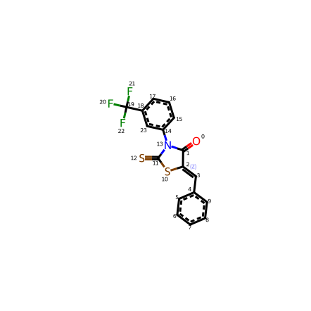 O=C1/C(=C/c2ccccc2)SC(=S)N1c1cccc(C(F)(F)F)c1